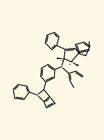 C=C/C(=C\C)N(c1cccc(C2C3=C(C=C3)N2c2ccccc2)c1)[C@](C)(/C(=C\C=C/C)c1ccccc1)[C@H](C)C1=CC=CC1